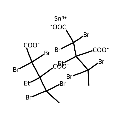 CCC(C(=O)[O-])(C(C)(Br)Br)C(Br)(Br)C(=O)[O-].CCC(C(=O)[O-])(C(C)(Br)Br)C(Br)(Br)C(=O)[O-].[Sn+4]